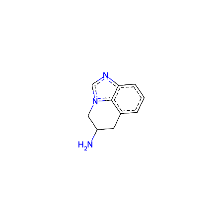 NC1Cc2cccc3ncn(c23)C1